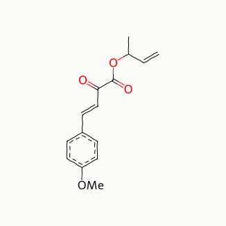 C=CC(C)OC(=O)C(=O)/C=C/c1ccc(OC)cc1